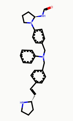 O=CN[C@@H]1CCCN1c1ccc(CN(Cc2ccc(/C=C/[C@@H]3CCCN3)cc2)c2ccccc2)cc1